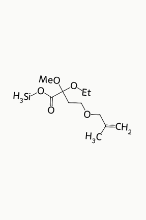 C=C(C)COCCC(OC)(OCC)C(=O)O[SiH3]